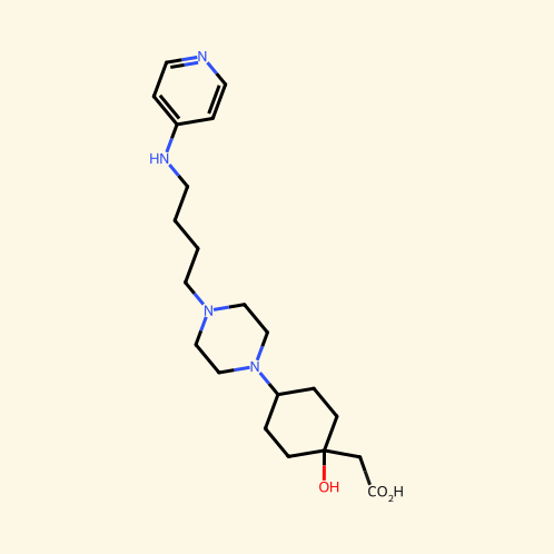 O=C(O)CC1(O)CCC(N2CCN(CCCCNc3ccncc3)CC2)CC1